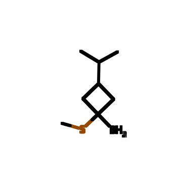 BC1(SC)CC(C(C)C)C1